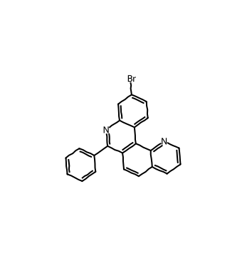 Brc1ccc2c(c1)nc(-c1ccccc1)c1ccc3cccnc3c12